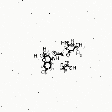 CC1(C)CC(=O)N(C[C@@H]2C[C@H]2C(=O)NC2CC(C)(C)Oc3cc(Cl)ccc32)C(=N)N1.O=C(O)C(F)(F)F